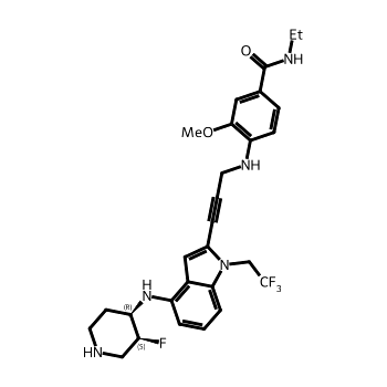 CCNC(=O)c1ccc(NCC#Cc2cc3c(N[C@@H]4CCNC[C@@H]4F)cccc3n2CC(F)(F)F)c(OC)c1